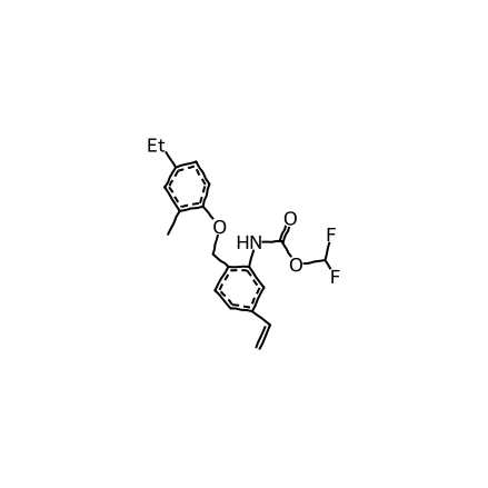 C=Cc1ccc(COc2ccc(CC)cc2C)c(NC(=O)OC(F)F)c1